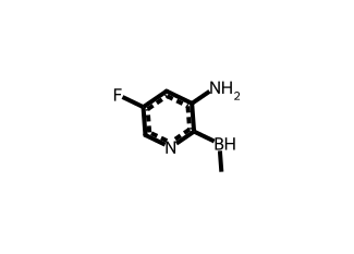 CBc1ncc(F)cc1N